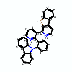 c1ccc(-n2c3ccccc3c3ccccc32)c(-c2ncccc2-c2nccc3c2sc2ccccc23)c1